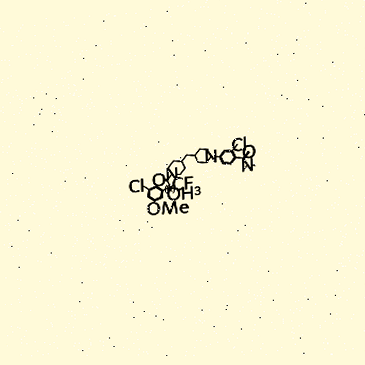 COc1cc(Cl)cc([C@@](O)(C(=O)N2CCC(CC3CCN(c4ccc(C(=O)N(C)C)c(Cl)c4)CC3)CC2)C(F)(F)F)c1